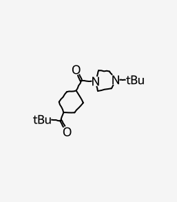 CC(C)(C)C(=O)C1CCC(C(=O)N2CCN(C(C)(C)C)CC2)CC1